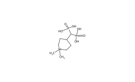 C[N+]1(C)CCC(C(P(=O)(O)O)P(=O)(O)O)CC1